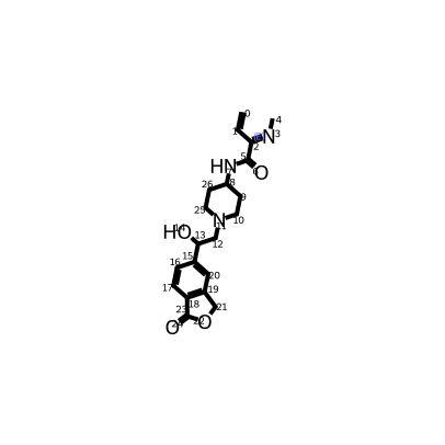 C=C/C(=N\C)C(=O)NC1CCN(CC(O)c2ccc3c(c2)COC3=O)CC1